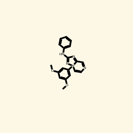 COc1cc(OC)cc([N+]23C=CN=CC2=NC(Nc2ccccc2)=N3)c1